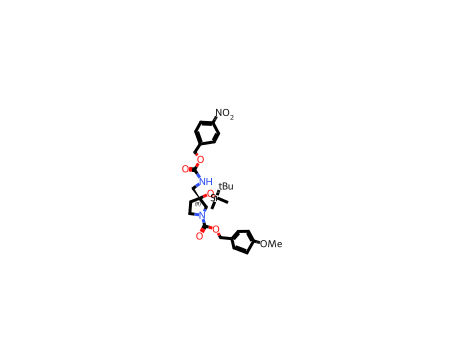 COc1ccc(COC(=O)N2CC[C@](CNC(=O)OCc3ccc([N+](=O)[O-])cc3)(O[Si](C)(C)C(C)(C)C)C2)cc1